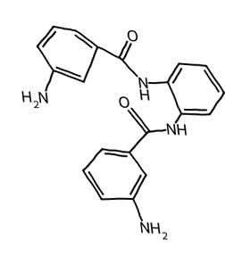 Nc1cccc(C(=O)Nc2ccccc2NC(=O)c2cccc(N)c2)c1